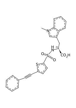 Cn1cc(C[C@H](NS(=O)(=O)c2ccc(C#Cc3ccccc3)s2)C(=O)O)c2ccccc21